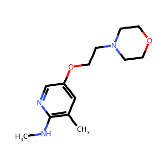 CNc1ncc(OCCN2CCOCC2)cc1C